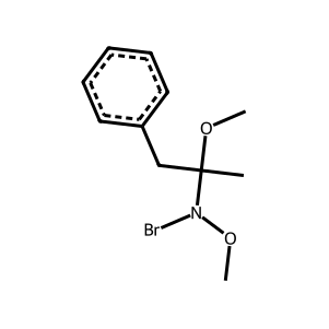 CON(Br)C(C)(Cc1ccccc1)OC